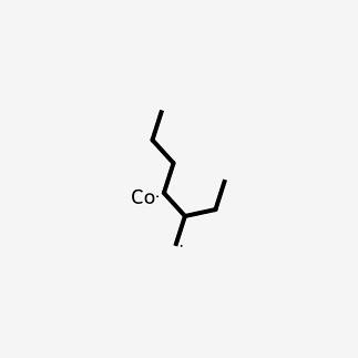 [CH2]C(CC)CCCC.[Co]